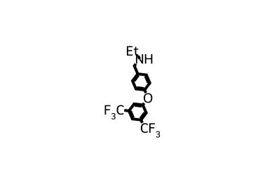 CCNCc1ccc(Oc2cc(C(F)(F)F)cc(C(F)(F)F)c2)cc1